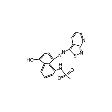 CS(=O)(=O)Nc1cccc2c(O)ccc(/N=N/c3snc4ncccc34)c12